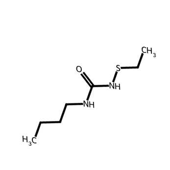 CCCCNC(=O)NSCC